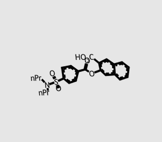 CCCN(CCC)S(=O)(=O)c1ccc(C(=O)Oc2cc3ccccc3cc2C(=O)O)cc1